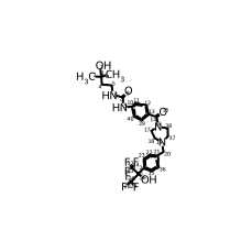 CC(C)(O)CCNC(=O)Nc1ccc(C(=O)N2CCN(Cc3ccc(C(O)(C(F)(F)F)C(F)(F)F)cc3)CC2)cc1